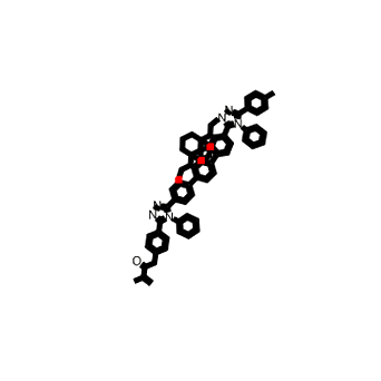 C=C(C)C(=O)Cc1ccc(-c2nnc(-c3ccc(-c4ccc5c(c4)C4(c6cc(-c7nnc(-c8ccc(C)cc8)n7-c7ccccc7)ccc6-5)C5(CCC)CCCC4(CCC)CCC5)cc3)n2-c2ccccc2)cc1